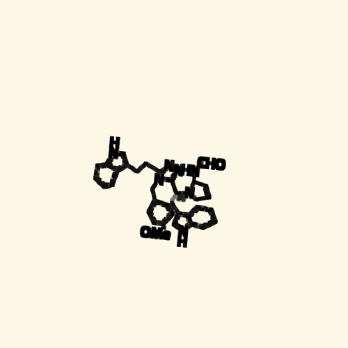 COc1ccc(Cn2c(CCc3c[nH]c4ccccc34)nnc2[C@@H](Cc2c[nH]c3ccccc23)N2CC=CC2N[C]=O)cc1